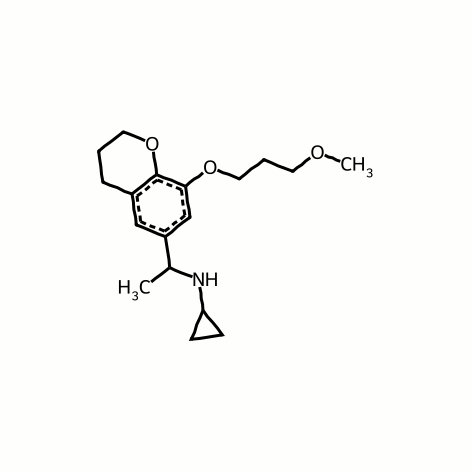 COCCCOc1cc(C(C)NC2CC2)cc2c1OCCC2